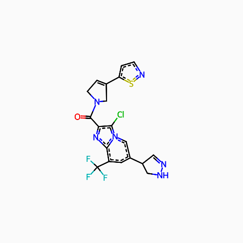 O=C(c1nc2c(C(F)(F)F)cc(C3C=NNC3)cn2c1Cl)N1CC=C(c2ccns2)C1